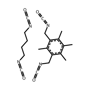 Cc1c(C)c(CN=C=O)c(C)c(CN=C=O)c1C.O=C=NCCCCN=C=O